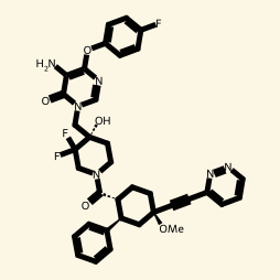 CO[C@]1(C#Cc2cccnn2)CC[C@@H](C(=O)N2CC[C@](O)(Cn3cnc(Oc4ccc(F)cc4)c(N)c3=O)C(F)(F)C2)[C@H](c2ccccc2)C1